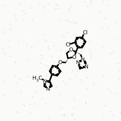 Cn1cncc1-c1ccc(OC[C@@H]2CO[C@@](Cn3cncn3)(c3ccc(Cl)cc3Cl)O2)cc1